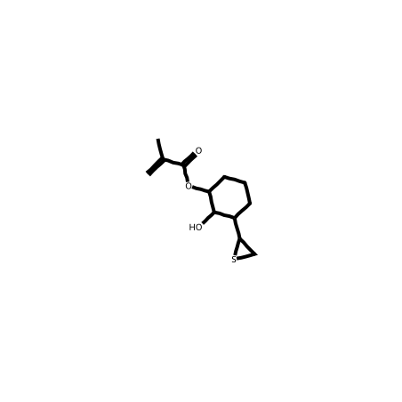 C=C(C)C(=O)OC1CCCC(C2CS2)C1O